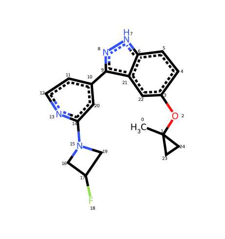 CC1(Oc2ccc3[nH]nc(-c4ccnc(N5CC(F)C5)c4)c3c2)CC1